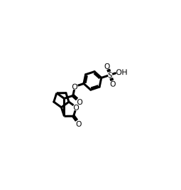 O=C(Oc1ccc(S(=O)(=O)O)cc1)C1C2CC3OC(=O)C1C3C2